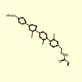 C=CC(=O)NCCc1ccc(-c2ccc(-c3ccc(-c4ccc(CCCCC)cc4)cc3F)cc2F)c(F)c1